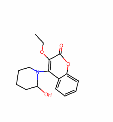 CCOc1c(N2CCCCC2O)c2ccccc2oc1=O